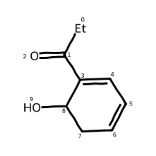 CCC(=O)C1=CC=CCC1O